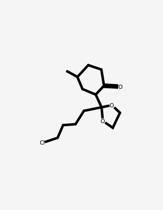 CC1CCC(=O)C(C2(CCCCCl)OCCO2)C1